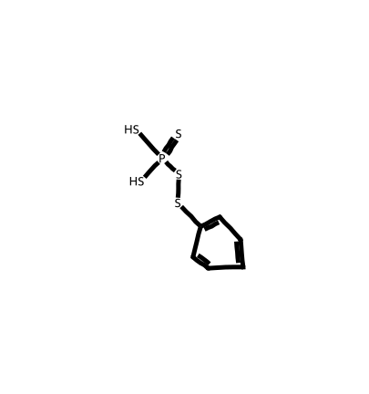 S=P(S)(S)SSc1ccccc1